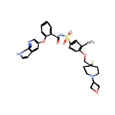 O=C(NS(=O)(=O)c1ccc(OCC2(F)CCN(C3COC3)CC2)c([N+](=O)[O-])c1)c1ccccc1Oc1cnc2[nH]ccc2c1